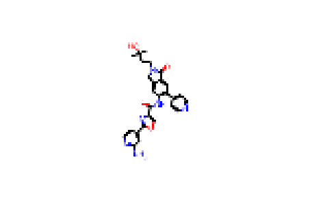 CC(C)(O)CCN1Cc2cc(NC(=O)c3coc(-c4ccnc(N)c4)n3)c(-c3ccncc3)cc2C1=O